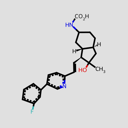 CC1(O)C[C@@H]2CCC(NC(=O)O)C[C@H]2[C@@H]1/C=C/c1ccc(-c2cccc(F)c2)cn1